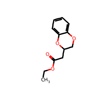 CCOC(=O)CC1COc2ccccc2O1